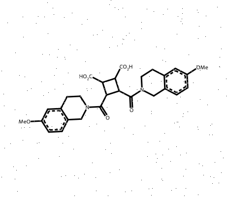 COc1ccc2c(c1)CCN(C(=O)C1C(C(=O)O)C(C(=O)O)C1C(=O)N1CCc3cc(OC)ccc3C1)C2